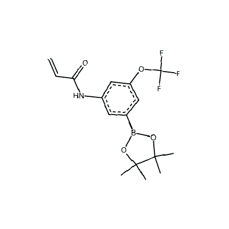 C=CC(=O)Nc1cc(OC(F)(F)F)cc(B2OC(C)(C)C(C)(C)O2)c1